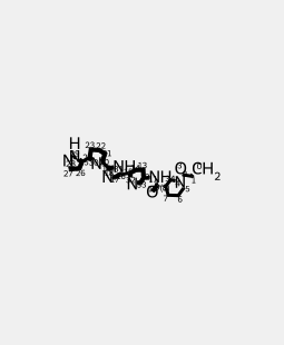 C=CC(=O)N1CCC[C@H](C(=O)Nc2ccc(-c3cnc(-c4cccc(-c5ccn[nH]5)n4)[nH]3)nc2)C1